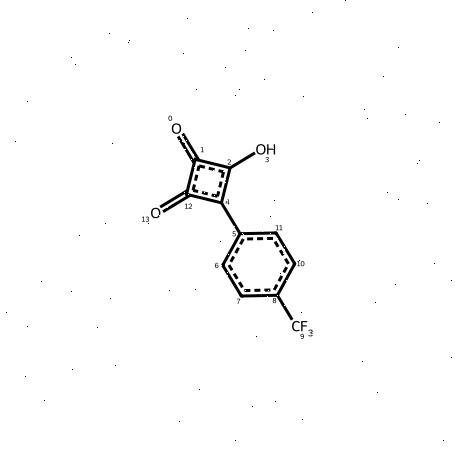 O=c1c(O)c(-c2ccc(C(F)(F)F)cc2)c1=O